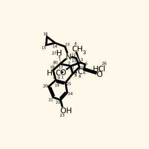 CO[C@@]12[C@@H](C)CC(=O)C[C@@]13CCN(CC1CC1)[C@@H]2Cc1ccc(O)cc13.Cl